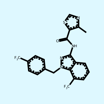 Cc1ncsc1C(=O)Nc1nn(Cc2ccc(C(F)(F)F)cc2)c2c(C(F)(F)F)cccc12